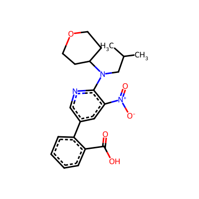 CC(C)CN(c1ncc(-c2ccccc2C(=O)O)cc1[N+](=O)[O-])C1CCOCC1